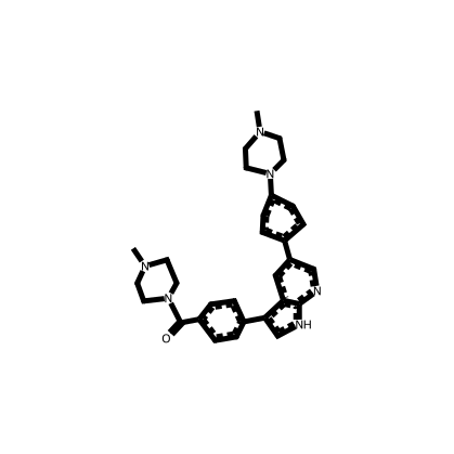 CN1CCN(C(=O)c2ccc(-c3c[nH]c4ncc(-c5ccc(N6CCN(C)CC6)cc5)cc34)cc2)CC1